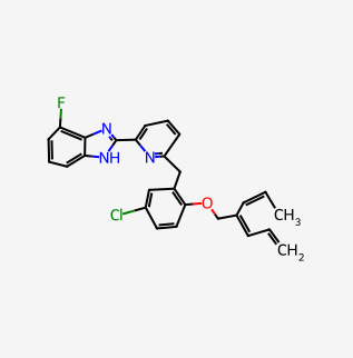 C=C/C=C(\C=C/C)COc1ccc(Cl)cc1Cc1cccc(-c2nc3c(F)cccc3[nH]2)n1